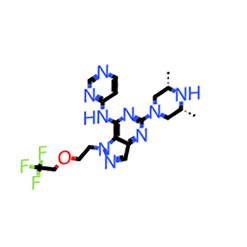 C[C@@H]1CN(c2nc(Nc3ccncn3)c3c(cnn3CCOCC(F)(F)F)n2)C[C@H](C)N1